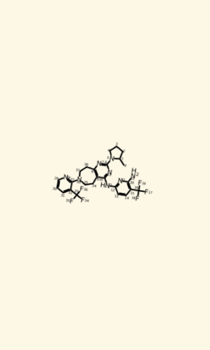 CC1CCCN1c1nc2c(c(Nc3ccc(C(F)(F)F)c(N)n3)n1)CCN(c1ncccc1C(F)(F)F)CC2